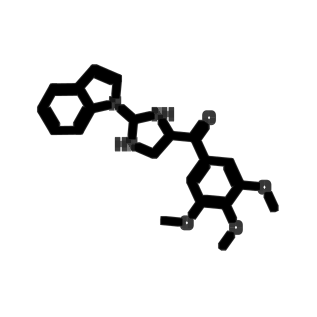 COc1cc(C(=O)C2CNC(n3ccc4ccccc43)N2)cc(OC)c1OC